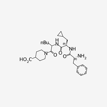 CCCCC(NC(=O)[C@@H](CC1CC1)NC(=O)[C@H](N)Cc1ccccc1)C(=O)N1CCC(C(=O)O)CC1